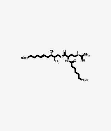 CCCCCCCCCCCCCC=CC[C@@H](O)[C@@H](N)COC(=O)C(CCNC(=N)N)NC(=O)CCCCCCCCCCCCCCC